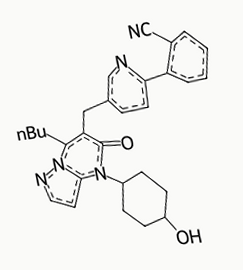 CCCCc1c(Cc2ccc(-c3ccccc3C#N)nc2)c(=O)n(C2CCC(O)CC2)c2ccnn12